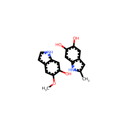 COc1cc2cc[nH]c2cc1O.Cc1cc2cc(O)c(O)cc2[nH]1